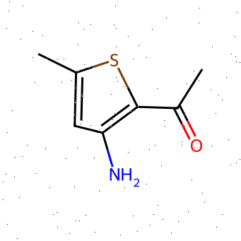 CC(=O)c1sc(C)cc1N